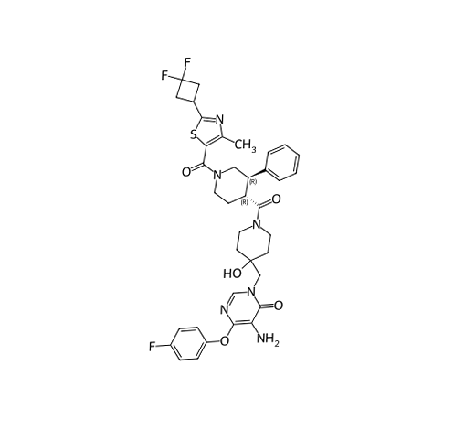 Cc1nc(C2CC(F)(F)C2)sc1C(=O)N1CC[C@@H](C(=O)N2CCC(O)(Cn3cnc(Oc4ccc(F)cc4)c(N)c3=O)CC2)[C@H](c2ccccc2)C1